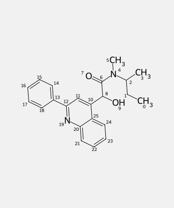 CCC(C)N(C)C(=O)C(O)c1cc(-c2ccccc2)nc2ccccc12